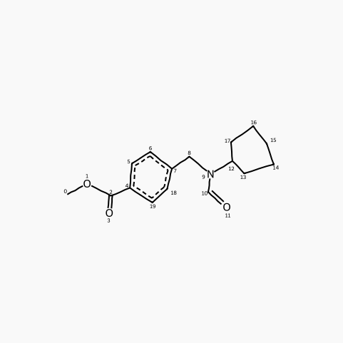 COC(=O)c1ccc(CN(C=O)C2CCCCC2)cc1